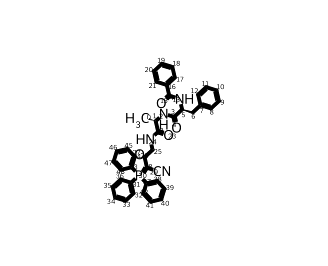 C[C@H](NC(=O)[C@H](Cc1ccccc1)NC(=O)c1ccccc1)C(=O)NCC(=O)C(C#N)=P(c1ccccc1)(c1ccccc1)c1ccccc1